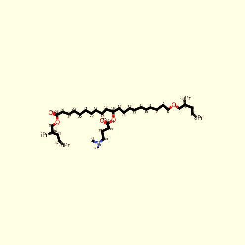 CC(C)CCC(COCCCCCCCCCCC(CCCCCCCCCC(=O)OCC(CCC(C)C)C(C)C)OC(=O)CCCN(C)C)C(C)C